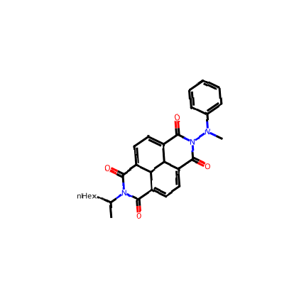 CCCCCCC(C)N1C(=O)C2=CC=C3C(=O)N(N(C)c4ccccc4)C(=O)C4=CC=C(C1=O)C2C34